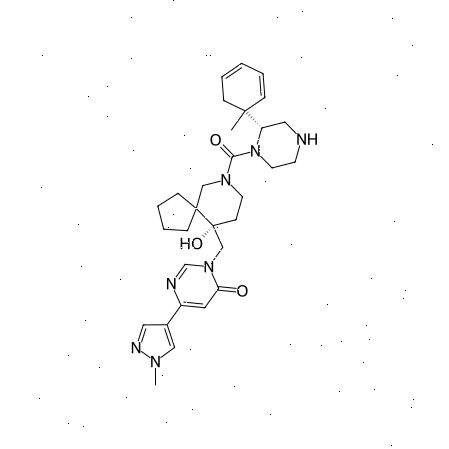 Cn1cc(-c2cc(=O)n(C[C@]3(O)CCN(C(=O)N4CCNC[C@H]4C4(C)C=CC=CC4)CC34CCCC4)cn2)cn1